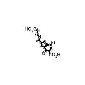 CCn1cc(C(=O)O)c(=O)c2cc(C=NOCC(=O)O)sc21